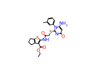 CCOC(=O)c1c(NC(=O)CSc2nc(=O)cc(N)n2-c2cccc(C)c2)sc2c1CCC2